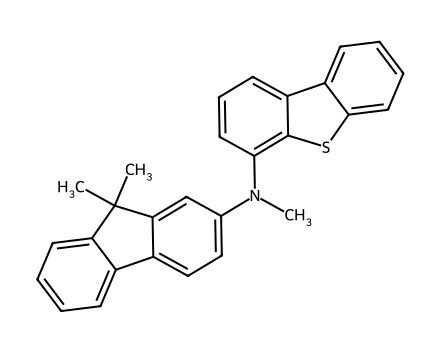 CN(c1ccc2c(c1)C(C)(C)c1ccccc1-2)c1cccc2c1sc1ccccc12